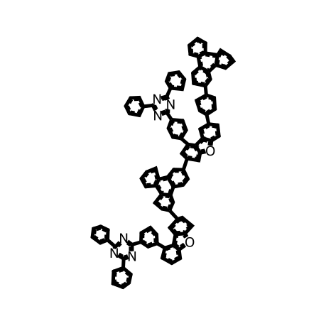 c1ccc(-c2nc(-c3ccccc3)nc(-c3ccc(-c4cc(-c5ccc6c(c5)c5ccccc5c5ccc(-c7ccc8oc9cccc(-c%10cccc(-c%11nc(-c%12ccccc%12)nc(-c%12ccccc%12)n%11)c%10)c9c8c7)cc56)cc5oc6ccc(-c7ccc(-c8ccc9c%10ccccc%10c%10ccccc%10c9c8)cc7)cc6c45)cc3)n2)cc1